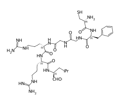 CC(C)C[C@@H]([C]=O)NC(=O)[C@H](CCCNC(=N)N)NC(=O)[C@H](CCCNC(=N)N)NC(=O)CNC(=O)CNC(=O)[C@H](Cc1ccccc1)NC(=O)[C@@H](N)CS